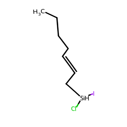 CCCCC=CC[SiH](Cl)I